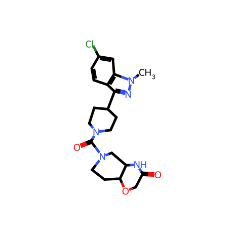 Cn1nc(C2CCN(C(=O)N3CCC4OCC(=O)NC4C3)CC2)c2ccc(Cl)cc21